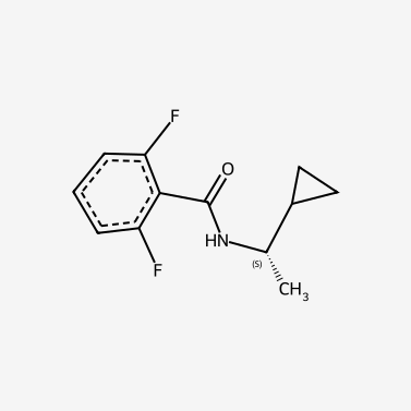 C[C@H](NC(=O)c1c(F)cccc1F)C1CC1